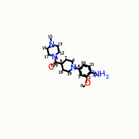 COc1cc(N2CCC(C(=O)N3CCN(C)CC3)CC2)ccc1N